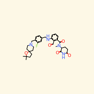 CN(C(=O)c1cccc(NCc2ccc(CN3CCC4(CC3)CCC(C)(C)O4)c(F)c2)c1C=O)C1CCC(=O)NC1=O